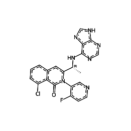 C[C@@H](Nc1ncnc2[nH]cnc12)c1cc2cccc(Cl)c2c(=O)n1-c1cnccc1F